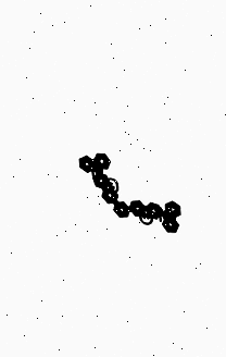 C1=Cc2c(c3ccccc3n2-c2ccc3c(c2)oc2cc(-c4cccc(-c5ccc6c(c5)oc5cc(-n7c8ccccc8c8ccccc87)ccc56)c4)ccc23)CC1